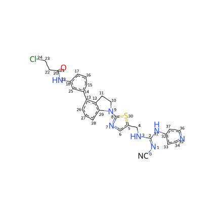 N#C/N=C(\NCc1cnc(N2CCc3c(-c4cccc(NC(=O)CCCl)c4)cccc32)s1)Nc1ccncc1